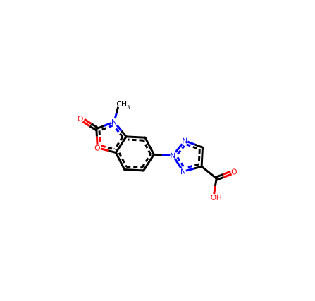 Cn1c(=O)oc2ccc(-n3ncc(C(=O)O)n3)cc21